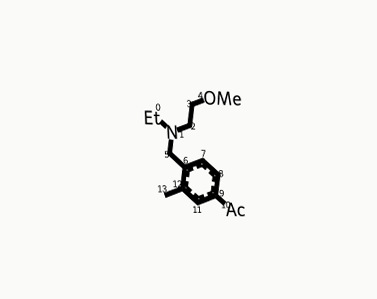 CCN(CCOC)Cc1ccc(C(C)=O)cc1C